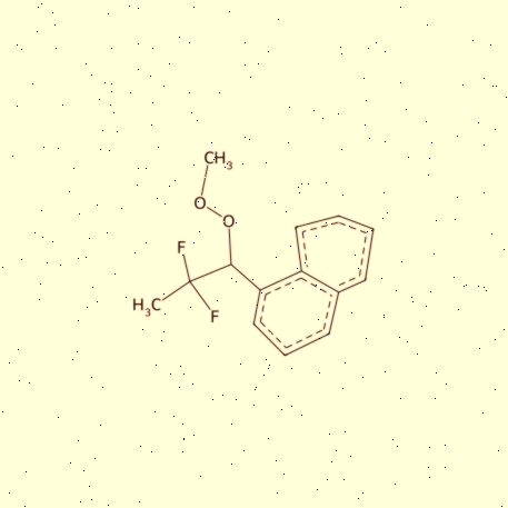 COOC(c1cccc2ccccc12)C(C)(F)F